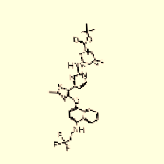 Cc1nc(Oc2ccc(NCCC(F)(F)F)c3ccccc23)c(-c2ccnc(N[C@H]3C[C@H](F)CN(C(=O)OC(C)(C)C)C3)n2)s1